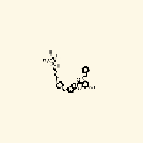 CC(C)(C)OC(=O)NCCCCCN1CCN(Cc2ccc3c(c2)CN(C(=O)c2c(O)cc(O)cc2OCc2ccccc2)C3)CC1